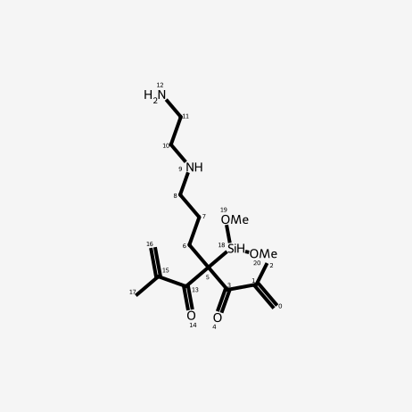 C=C(C)C(=O)C(CCCNCCN)(C(=O)C(=C)C)[SiH](OC)OC